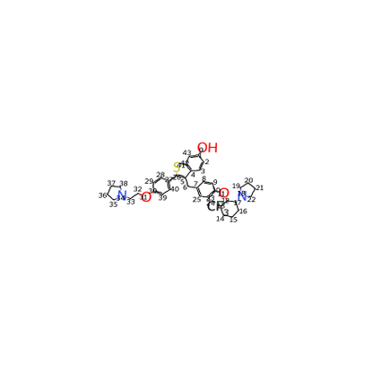 Oc1ccc2c(Cc3ccc(O[C@@H]4CCCC[C@H]4N4CCCC4)c(C(F)(F)F)c3)c(-c3ccc(OCCN4CCCC4)cc3)sc2c1